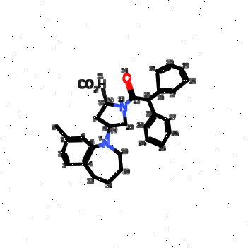 Cc1ccc2c(c1)N([C@H]1C[C@@H](C(=O)O)N(C(=O)C(c3ccccc3)c3ccccc3)C1)CCCC2